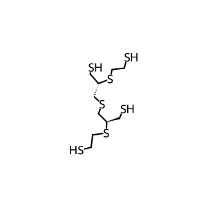 SCCS[C@H](CS)CSC[C@H](CS)SCCS